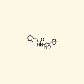 O=C(C=Cc1ccccn1)Nc1cc(-c2ccco2)on1